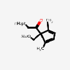 CCCCCCCCC(=O)C1(COC)C(C)=CC=C1C